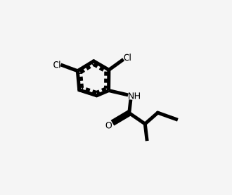 CCC(C)C(=O)Nc1ccc(Cl)cc1Cl